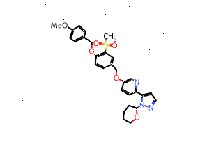 COc1ccc(COc2ccc(COc3ccc(-c4ccnn4C4CCCCO4)nc3)cc2S(C)(=O)=O)cc1